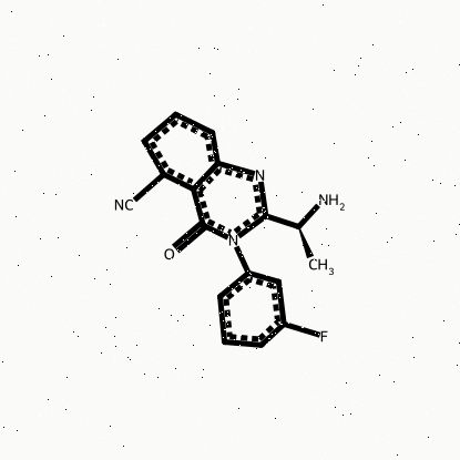 C[C@H](N)c1nc2cccc(C#N)c2c(=O)n1-c1cccc(F)c1